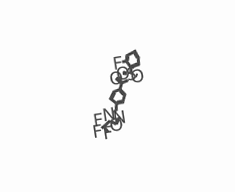 O=C(CS(=O)(=O)c1ccccc1F)c1ccc(-c2noc(C(F)(F)F)n2)cc1